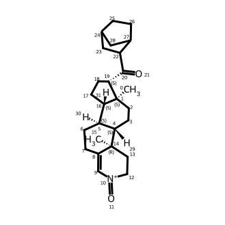 C[C@]12CC[C@H]3[C@@H](CCC4=C[N+](=O)CC[C@@]43C)[C@@H]1CC[C@@H]2C(=O)C1CC2CCC1C2